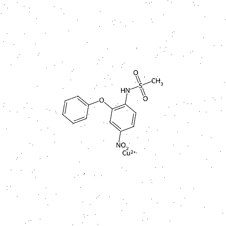 CS(=O)(=O)Nc1ccc([N+](=O)[O-])cc1Oc1ccccc1.[Cu+2]